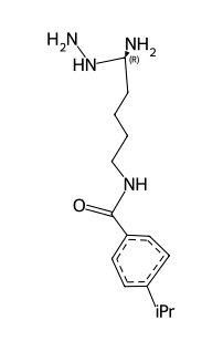 CC(C)c1ccc(C(=O)NCCCC[C@H](N)NN)cc1